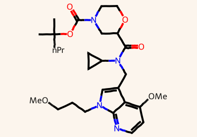 CCCC(C)(C)OC(=O)N1CCOC(C(=O)N(Cc2cn(CCCOC)c3nccc(OC)c23)C2CC2)C1